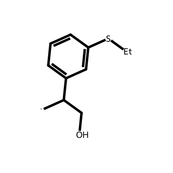 [CH2]C(CO)c1cccc(SCC)c1